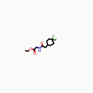 CCOC(=O)CNC(=O)CC1CCC(F)(F)CC1